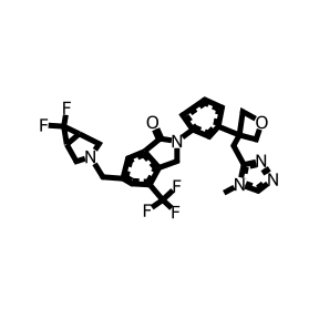 Cn1cnnc1CC1(c2cccc(N3Cc4c(cc(CN5CC6C(C5)C6(F)F)cc4C(F)(F)F)C3=O)c2)COC1